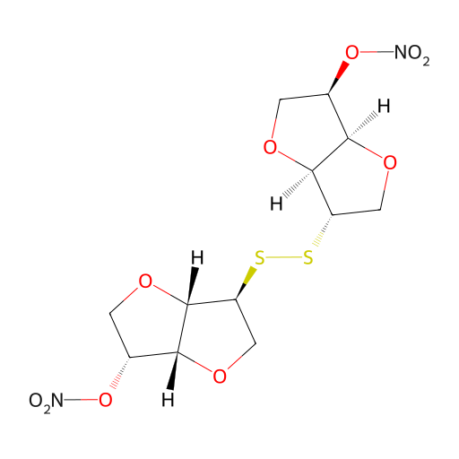 O=[N+]([O-])O[C@@H]1CO[C@H]2[C@@H]1OC[C@@H]2SS[C@H]1CO[C@H]2[C@@H]1OC[C@H]2O[N+](=O)[O-]